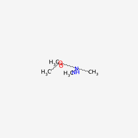 CCCCCCCCCN(CCCCCCCCCC(=O)OC(C)CCCCCCCC)CCNC